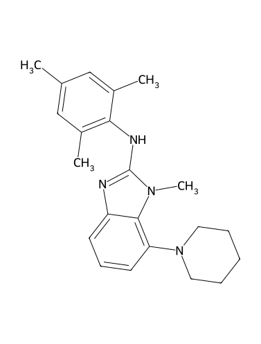 Cc1cc(C)c(Nc2nc3cccc(N4CCCCC4)c3n2C)c(C)c1